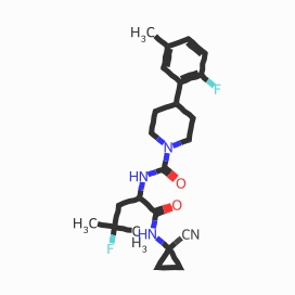 Cc1ccc(F)c(C2CCN(C(=O)NC(CC(C)(C)F)C(=O)NC3(C#N)CC3)CC2)c1